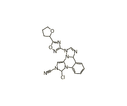 N#CN1C=C2N(c3ccccc3C3N=CN(c4noc(C5CCCO5)n4)N23)C1Cl